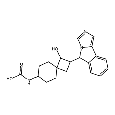 O=C(O)NC1CCC2(CC1)CC(C1c3ccccc3-c3cncn31)C2O